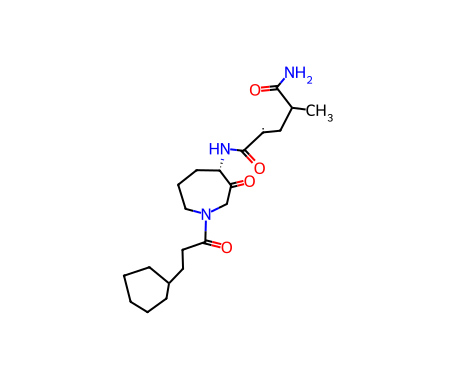 CC(C[CH]C(=O)N[C@H]1CCCN(C(=O)CCC2CCCCC2)CC1=O)C(N)=O